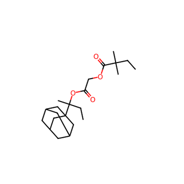 CCC(C)(C)C(=O)OCC(=O)OC(C)(CC)C12CC3CC(CC(C3)C1)C2